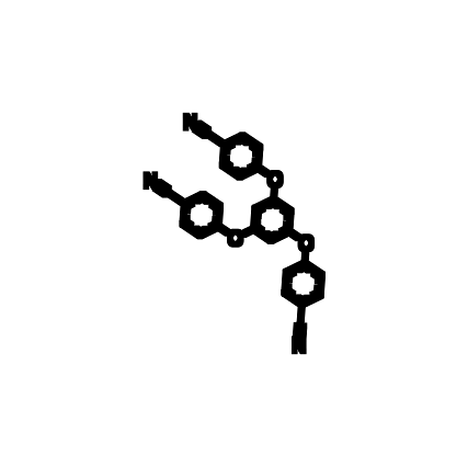 N#Cc1ccc(Oc2cc(Oc3ccc(C#N)cc3)cc(Oc3ccc(C#N)cc3)c2)cc1